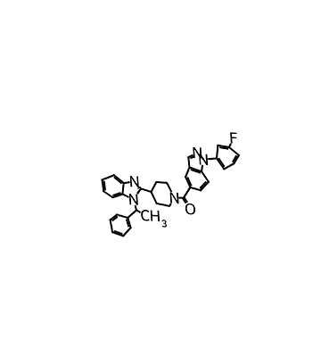 CC(c1ccccc1)n1c(C2CCN(C(=O)c3ccc4c(cnn4-c4cccc(F)c4)c3)CC2)nc2ccccc21